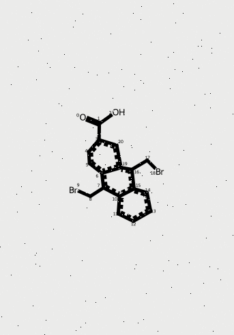 O=C(O)c1ccc2c(CBr)c3ccccc3c(CBr)c2c1